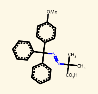 COc1ccc(C(/N=N/C(C)(C)C(=O)O)(c2ccccc2)c2ccccc2)cc1